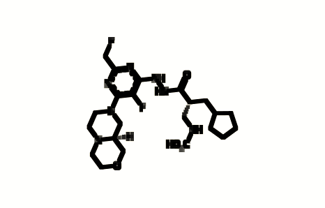 O=C(O)NC[C@@H](CC1CCCC1)C(=O)NNc1nc(CF)nc(N2CCN3CCOC[C@@H]3C2)c1F